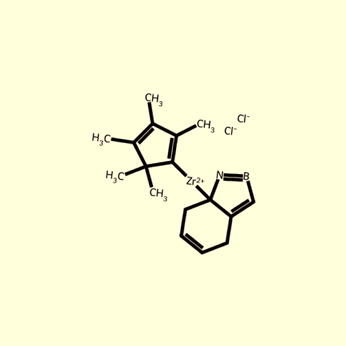 CC1=C(C)C(C)(C)[C]([Zr+2][C]23CC=CCC2=CB=N3)=C1C.[Cl-].[Cl-]